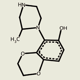 CC1CNCCN1c1c(O)ccc2c1OCCO2